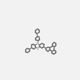 c1ccc(-c2ccc(N3c4ccc(-c5ccccc5)cc4Sc4cc(-c5ccc6c7ccccc7c7ccccc7c6c5)ccc43)cc2)cc1